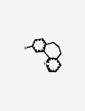 Brc1ccc2c(c1)-c1ncccc1CCC2